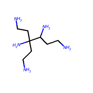 NCCC(N)C(N)(CCN)CCN